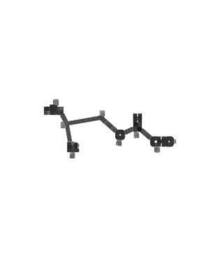 CCCCC(CC)CON[C]=O